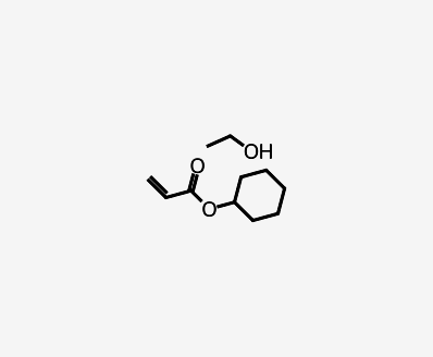 C=CC(=O)OC1CCCCC1.CCO